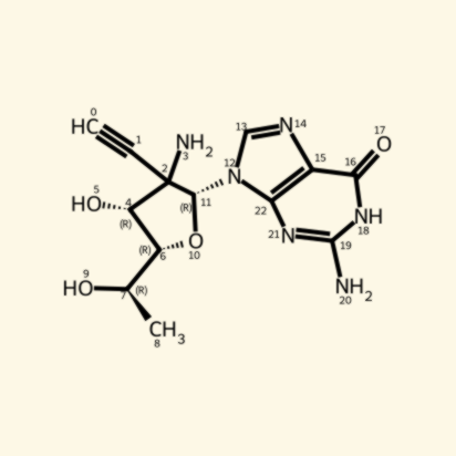 C#CC1(N)[C@@H](O)[C@@H]([C@@H](C)O)O[C@H]1n1cnc2c(=O)[nH]c(N)nc21